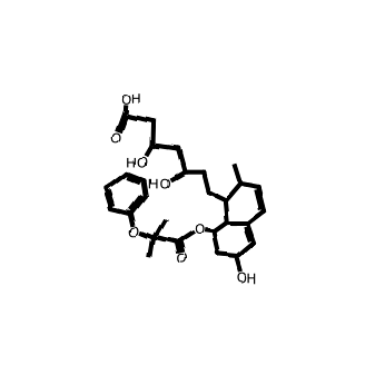 CC1C=CC2=CC(O)CC(OC(=O)C(C)(C)Oc3ccccc3)C2C1CCC(O)CC(O)CC(=O)O